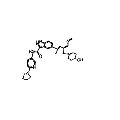 C=N/C=C(\C=C(/C)c1ccc2[nH]nc(C(=O)Nc3ccc(N4CCCC4)nc3)c2c1)CN1CCC(O)CC1